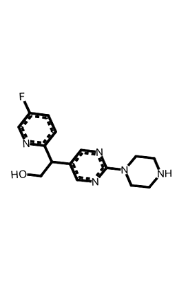 OCC(c1cnc(N2CCNCC2)nc1)c1ccc(F)cn1